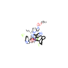 CC[C@@H]1[C@H](N(C)c2nc(OC[C@@]34CCCN3C[C@H](F)C4)nc3c(F)c(-c4cccc5ccc(F)c(C#C[Si](C(C)C)(C(C)C)C(C)C)c45)ncc23)CCN1C(=O)OC(C)(C)C